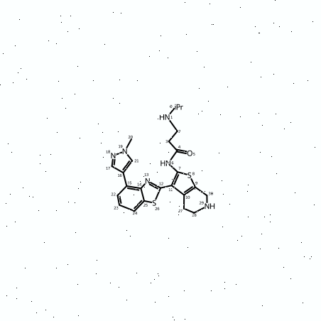 CC(C)NCCC(=O)Nc1sc2c(c1-c1nc3c(-c4cnn(C)c4)cccc3s1)CCNC2